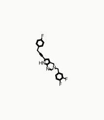 Fc1ccc(CC#Cc2cc3c([nH]2)N=CN(Cc2ccc(F)c(F)c2)C3)cc1